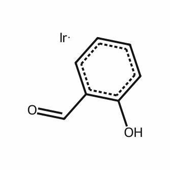 O=Cc1ccccc1O.[Ir]